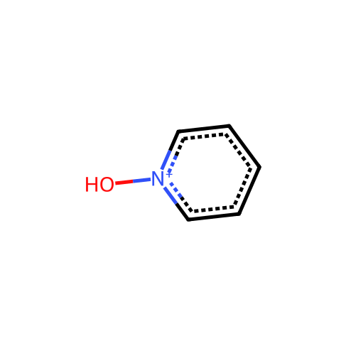 O[n+]1ccccc1